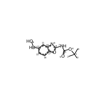 CC(C)(C)OC(=O)Nc1nc2cc(BO)ccc2o1